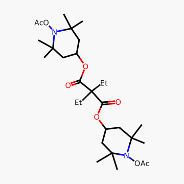 CCC(CC)(C(=O)OC1CC(C)(C)N(OC(C)=O)C(C)(C)C1)C(=O)OC1CC(C)(C)N(OC(C)=O)C(C)(C)C1